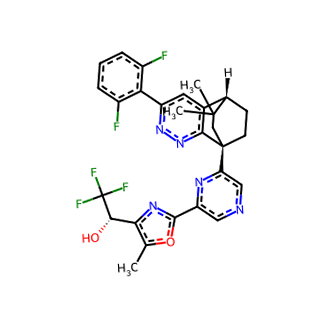 Cc1oc(-c2cncc([C@@]34CC[C@@H](c5cc(-c6c(F)cccc6F)nnc53)C(C)(C)C4)n2)nc1[C@H](O)C(F)(F)F